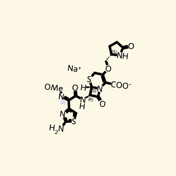 CO/N=C(\C(=O)N[C@@H]1C(=O)N2C(C(=O)[O-])=C(OC[C@@H]3CCC(=O)N3)CS[C@@H]12)c1csc(N)n1.[Na+]